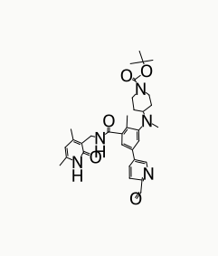 Cc1cc(C)c(CNC(=O)c2cc(-c3ccc(C=O)nc3)cc(N(C)C3CCN(C(=O)OC(C)(C)C)CC3)c2C)c(=O)[nH]1